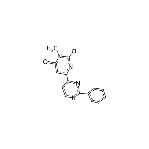 Cn1c(Cl)nc(-c2ccnc(-c3ccccc3)n2)cc1=O